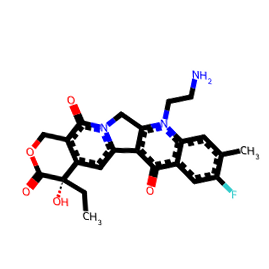 CC[C@@]1(O)C(=O)OCc2c1cc1n(c2=O)Cc2c-1c(=O)c1cc(F)c(C)cc1n2CCN